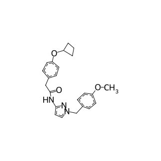 COc1ccc(Cn2ccc(NC(=O)Cc3ccc(OC4CCC4)cc3)n2)cc1